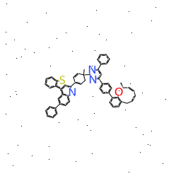 C[C@H]1/C=C\C=C/Cc2cccc(-c3ccc(-c4cc(-c5ccccc5)nc(C5(C)C=CC(c6nc7ccc(-c8ccccc8)cc7c7c6sc6ccccc67)=CC5)n4)cc3)c2O1